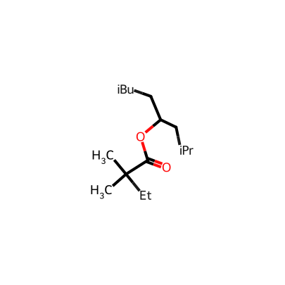 CCC(C)CC(CC(C)C)OC(=O)C(C)(C)CC